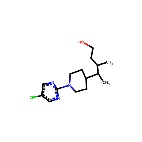 CC(CCO)C(C)C1CCN(c2ncc(Cl)cn2)CC1